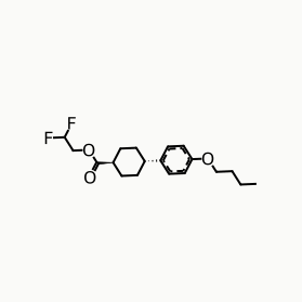 CCCCOc1ccc([C@H]2CC[C@H](C(=O)OCC(F)F)CC2)cc1